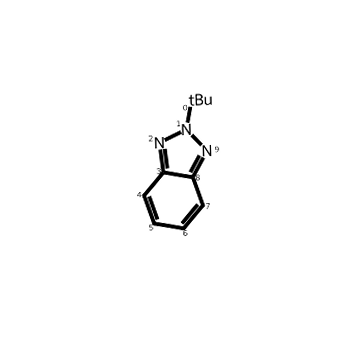 CC(C)(C)n1nc2ccccc2n1